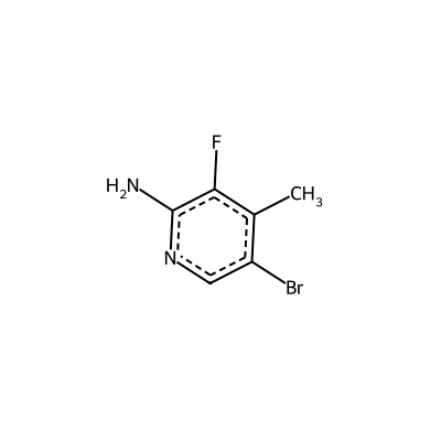 Cc1c(Br)cnc(N)c1F